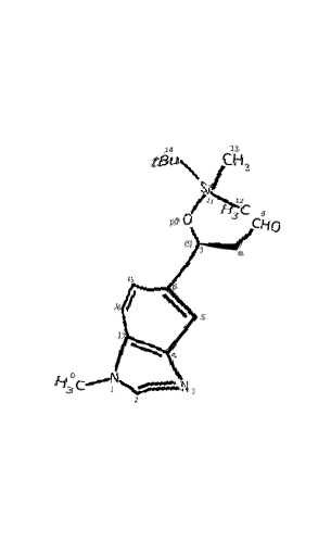 Cn1cnc2cc([C@H](CC=O)O[Si](C)(C)C(C)(C)C)ccc21